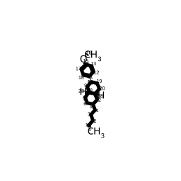 CCCCCC1CC[C@@H]2C[C@H](c3ccc(OC)cc3)CC[C@@H]2C1